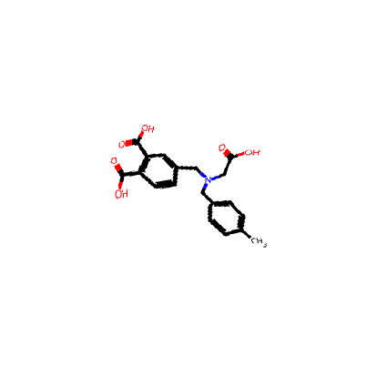 Cc1ccc(CN(CC(=O)O)Cc2ccc(C(=O)O)c(C(=O)O)c2)cc1